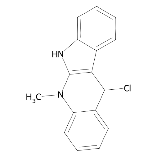 CN1c2ccccc2C(Cl)c2c1[nH]c1ccccc21